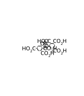 O=C(O)c1cc(O[PH](=O)Oc2cc(C(=O)O)cc(C(=O)O)c2C(=O)O)c(C(=O)O)c(C(=O)O)c1